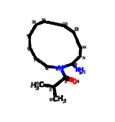 CC(C)C(=O)N1CCCCCCCCCCC1N